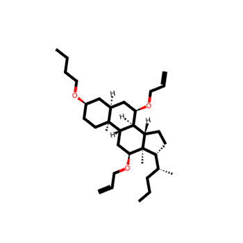 C=CCO[C@H]1C[C@H]2[C@@H]([C@H](OCC=C)C[C@@H]3C[C@H](OCCCC)CC[C@@]32C)[C@@H]2CC[C@H]([C@H](C)CCC)[C@@]12C